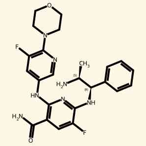 C[C@H](N)[C@H](Nc1nc(Nc2cnc(N3CCOCC3)c(F)c2)c(C(N)=O)cc1F)c1ccccc1